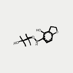 CC(C)(O)C(C)(C)OBc1ccc2c(c1O)CCO2